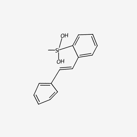 C[Si](O)(O)c1ccccc1C=Cc1ccccc1